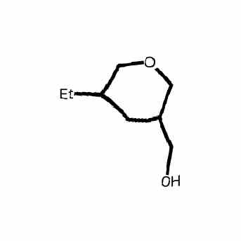 CCC1COCC(CO)C1